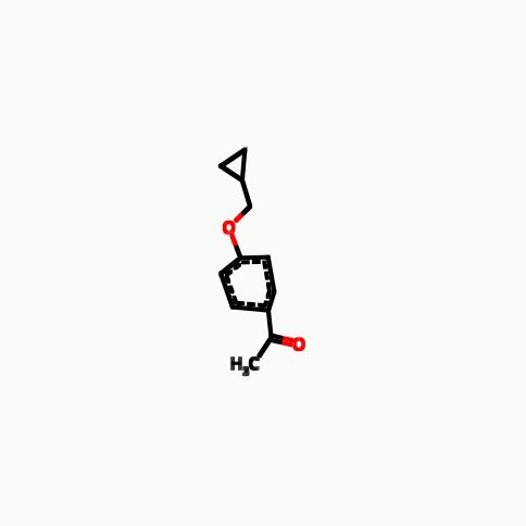 CC(=O)c1ccc(OCC2CC2)cc1